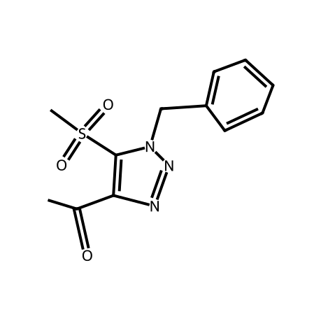 CC(=O)c1nnn(Cc2ccccc2)c1S(C)(=O)=O